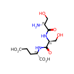 N[C@H](CO)C(=O)N[C@@H](CO)C(=O)N[C@@H](CCC(=O)O)C(=O)O